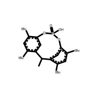 CC1c2cc(c(C(C)(C)C)cc2C(C)(C)C)OP(=O)(O)Oc2cc1c(C(C)(C)C)cc2C(C)(C)C